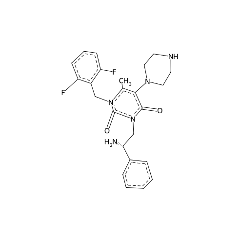 Cc1c(N2CCNCC2)c(=O)n(C[C@@H](N)c2ccccc2)c(=O)n1Cc1c(F)cccc1F